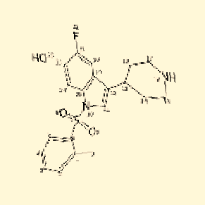 Cc1ccccc1S(=O)(=O)n1cc(C2CCNCC2)c2cc(F)ccc21.Cl